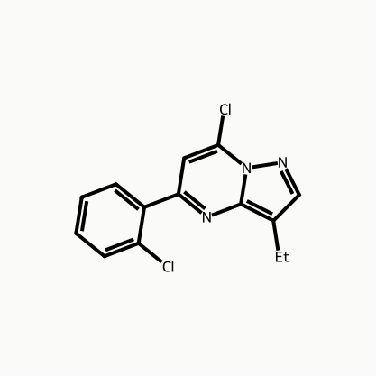 CCc1cnn2c(Cl)cc(-c3ccccc3Cl)nc12